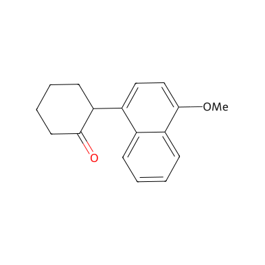 COc1ccc(C2CCCCC2=O)c2ccccc12